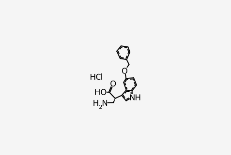 Cl.NC[C@@H](C(=O)O)c1c[nH]c2ccc(OCc3ccccc3)cc12